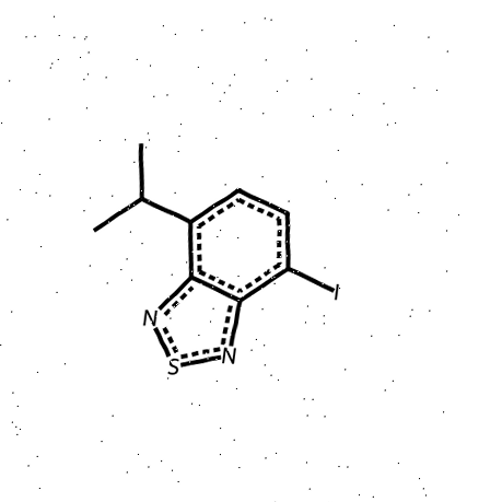 CC(C)c1ccc(I)c2nsnc12